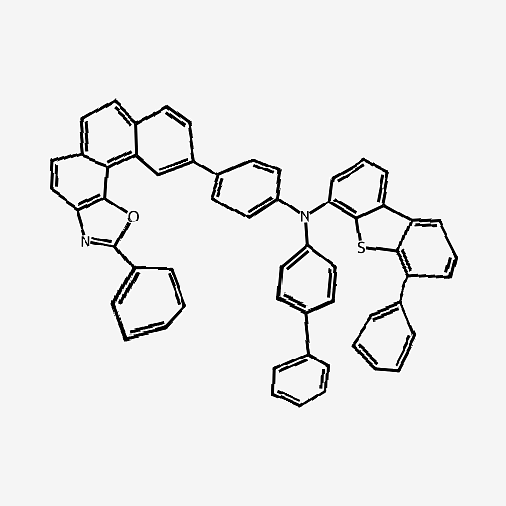 c1ccc(-c2ccc(N(c3ccc(-c4ccc5ccc6ccc7nc(-c8ccccc8)oc7c6c5c4)cc3)c3cccc4c3sc3c(-c5ccccc5)cccc34)cc2)cc1